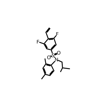 C=Cc1c(F)cc(S(=O)(=O)N(CC(C)C)c2ccc(C)cc2C)cc1F